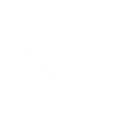 CC(O)N(C(C)O)C(C)O.CCCCCCCCCCCC(=O)N(C)CC(=O)O